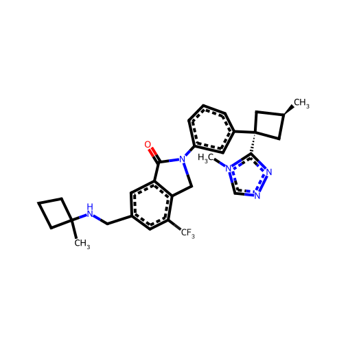 Cn1cnnc1[C@]1(c2cccc(N3Cc4c(cc(CNC5(C)CCC5)cc4C(F)(F)F)C3=O)c2)C[C@@H](C)C1